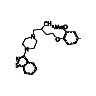 COc1c[c]ccc1OCCC(C)CN1CCN(c2nsc3ccccc23)CC1